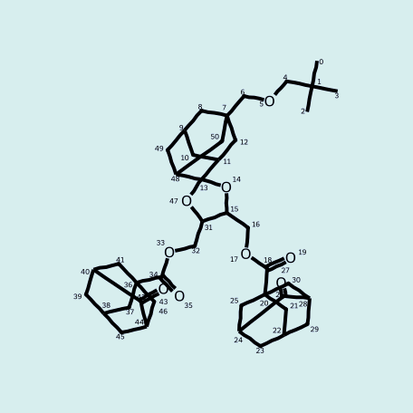 CC(C)(C)COCC12CC3CC(C1)C1(OC(COC(=O)C45CC6CC(C4)C(=O)C(C6)C5)C(COC(=O)C45CC6CC(C4)C(=O)C(C6)C5)O1)C(C3)C2